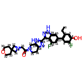 CCc1cc(O)c(F)cc1-c1cc(F)c2c(-c3nc4c([nH]3)CN(C(=O)CN3CC5(CCOCC5)C3)CC4)n[nH]c2c1